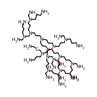 NCCCN(CN)CCCN(CCCN(CCCN)CCCN)CCCN(CCCN(CCCN(CN)CCCN)CN(CN)CCCN)CCCN(CCCN(CCCN(CN)CCCN)CCCN(CCCN)CCCN)CN(CCCN(CN)CCCN)CN(CN)CN